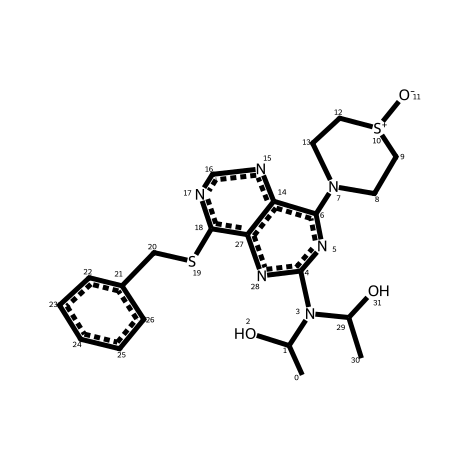 CC(O)N(c1nc(N2CC[S+]([O-])CC2)c2ncnc(SCc3ccccc3)c2n1)C(C)O